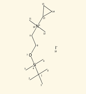 CC(C)(C)[Si](C)(C)OCC[N+](C)(C)C1CC1.[I-]